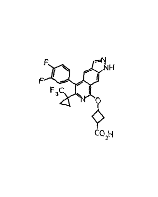 O=C(O)C1CC(Oc2nc(C3(C(F)(F)F)CC3)c(-c3ccc(F)c(F)c3)c3cc4cn[nH]c4cc23)C1